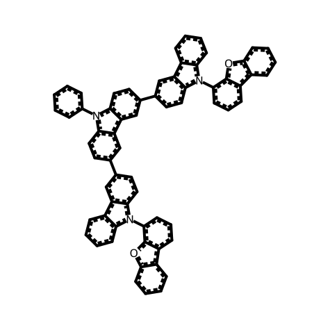 c1ccc(-n2c3ccc(-c4ccc5c(c4)c4ccccc4n5-c4cccc5c4oc4ccccc45)cc3c3cc(-c4ccc5c(c4)c4ccccc4n5-c4cccc5c4oc4ccccc45)ccc32)cc1